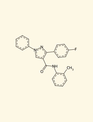 Cc1ccccc1NC(=O)c1cn(-c2ccccc2)nc1-c1ccc(F)cc1